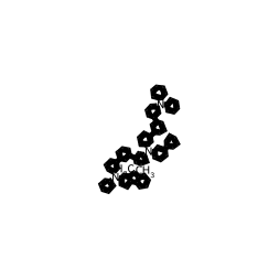 CC1(C)c2ccccc2-c2ccc(N(c3ccccc3)c3cccc(-c4cccc(-c5cccc(N(c6cccc(-c7ccccc7)c6)c6cccc(-c7cccc(-c8cccc(N(c9ccccc9)c9ccccc9)c8)c7)c6)c5)c4)c3)cc21